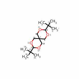 [CH2]C(C)(C)C1OCC2(CO1)COC(C([CH2])(C)C)OC2